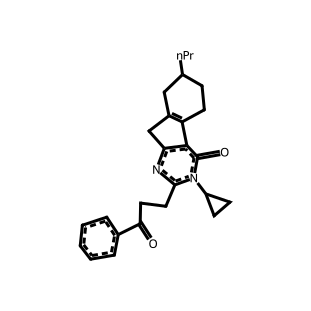 CCCC1CCC2=C(Cc3nc(CCC(=O)c4ccccc4)n(C4CC4)c(=O)c32)C1